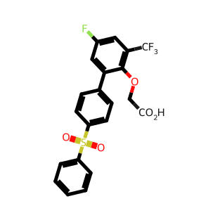 O=C(O)COc1c(-c2ccc(S(=O)(=O)c3ccccc3)cc2)cc(F)cc1C(F)(F)F